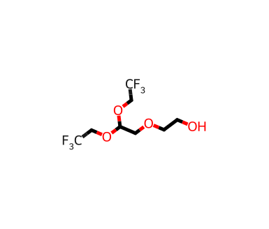 OCCOCC(OCC(F)(F)F)OCC(F)(F)F